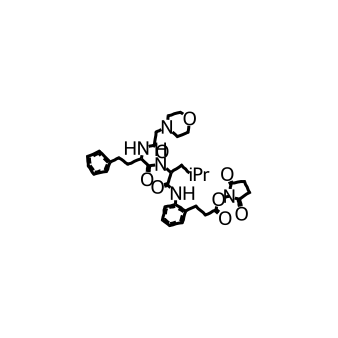 CC(C)CC(NC(=O)C(CCc1ccccc1)NC(=O)CN1CCOCC1)C(=O)Nc1ccccc1CCC(=O)ON1C(=O)CCC1=O